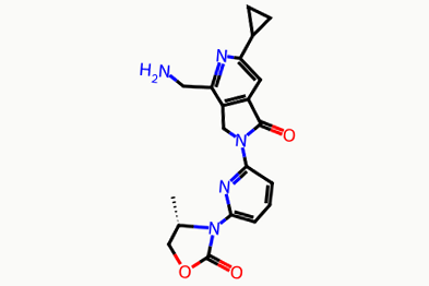 C[C@H]1COC(=O)N1c1cccc(N2Cc3c(cc(C4CC4)nc3CN)C2=O)n1